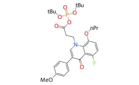 CCCOc1ccc(F)c2c(=O)c(-c3ccc(OC)cc3)cn(CCC(=O)OP(=O)(OC(C)(C)C)OC(C)(C)C)c12